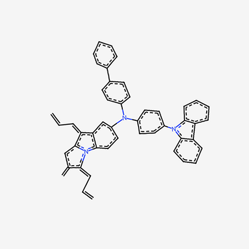 C=C/C=c1/c2cc(N(c3ccc(-c4ccccc4)cc3)c3ccc(-n4c5ccccc5c5ccccc54)cc3)ccc2n2/c(=C/C=C)c(=C)cc12